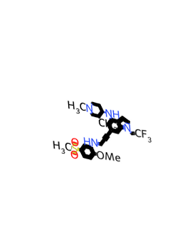 COc1ccc(S(C)(=O)=O)cc1NCC#Cc1cc(N[C@@H]2CCN(C)C[C@@H]2C)c2ccn(CC(F)(F)F)c2c1